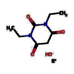 CCN1C(=O)CC(=O)N(CC)C1=O.[K+].[OH-]